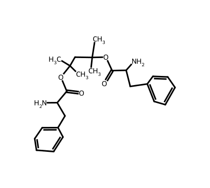 CC(C)(CC(C)(C)OC(=O)C(N)Cc1ccccc1)OC(=O)C(N)Cc1ccccc1